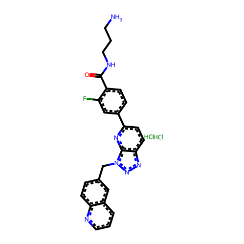 Cl.Cl.NCCCNC(=O)c1ccc(-c2ccc3nnn(Cc4ccc5ncccc5c4)c3n2)cc1F